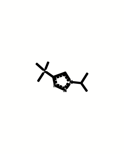 CC(C)n1cc(S(C)(C)C)nn1